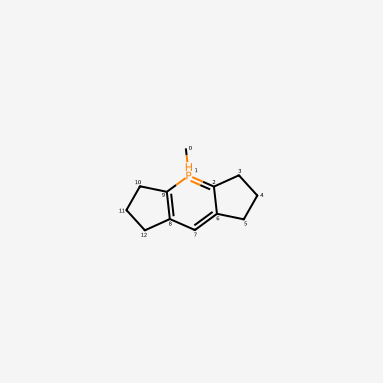 C[PH]1=C2CCCC2=CC2=C1CCC2